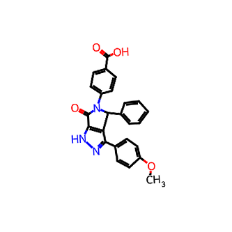 COc1ccc(-c2n[nH]c3c2C(c2ccccc2)N(c2ccc(C(=O)O)cc2)C3=O)cc1